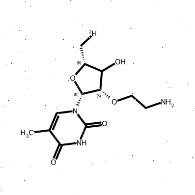 [2H]C[C@H]1O[C@@H](n2cc(C)c(=O)[nH]c2=O)[C@@H](OCCN)C1O